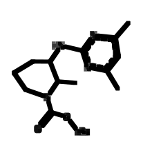 CCCCOC(=O)N1CCCC(Nc2nc(C)cc(C)n2)C1C